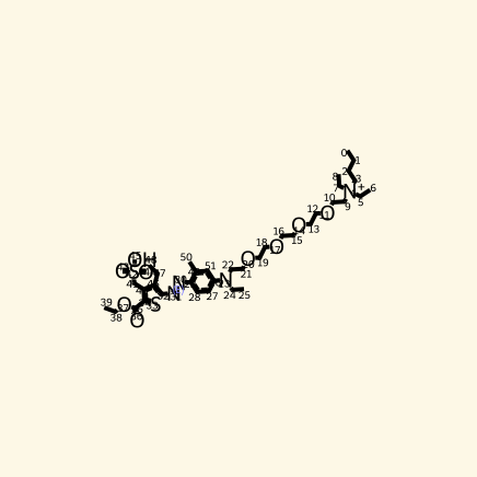 CCCC[N+](CC)(CC)CCOCCOCCOCCOCCN(CC)c1ccc(/N=N/c2sc(C(=O)OCC)c(CS(=O)(=O)O)c2CC)c(C)c1